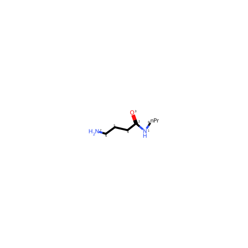 CCCNC(=O)CCCN